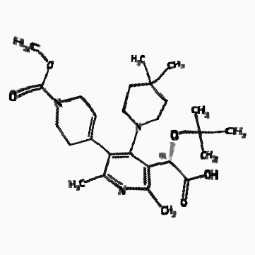 COC(=O)N1CC=C(c2c(C)nc(C)c([C@H](OC(C)(C)C)C(=O)O)c2N2CCC(C)(C)CC2)CC1